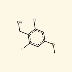 COc1cc(F)c(CO)c(Cl)c1